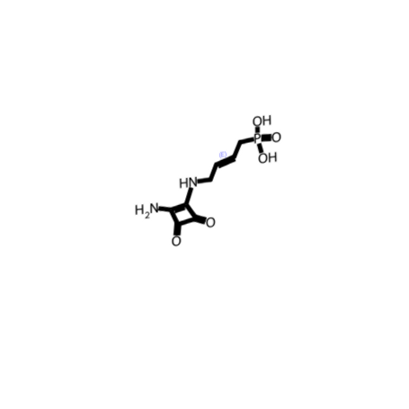 Nc1c(NC/C=C/CP(=O)(O)O)c(=O)c1=O